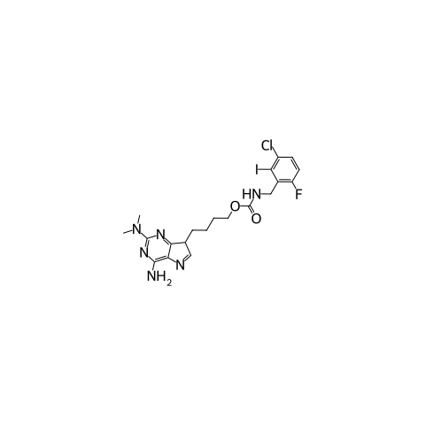 CN(C)c1nc(N)c2c(n1)C(CCCCOC(=O)NCc1c(F)ccc(Cl)c1I)C=N2